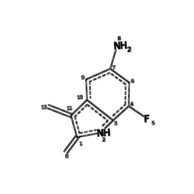 C=c1[nH]c2c(F)cc(N)cc2c1=C